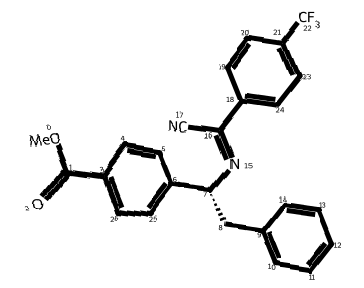 COC(=O)c1ccc([C@@H](Cc2ccccc2)/N=C(\C#N)c2ccc(C(F)(F)F)cc2)cc1